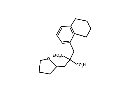 CCOC(=O)C(Cc1cccc2c1CCCC2)(CC1CCCO1)C(=O)O